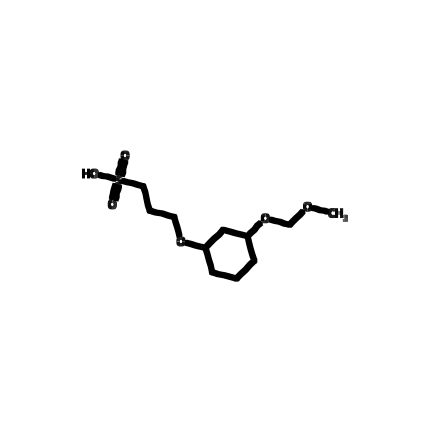 COCOC1CCCC(OCCCS(=O)(=O)O)C1